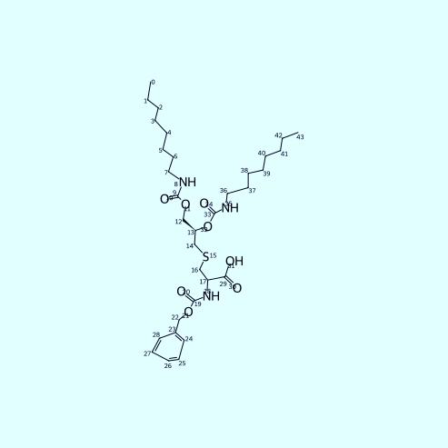 CCCCCCCCNC(=O)OC[C@H](CSCC(NC(=O)OCc1ccccc1)C(=O)O)OC(=O)NCCCCCCCC